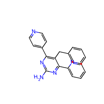 Nc1nc(-c2ccncc2)c(Cc2ccccc2)c(-c2ccccn2)n1